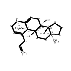 C=CCC1=CCNC2=CC[C@H]3[C@@H]4CCC[C@@]4(C)CC[C@@H]3[C@@]12C